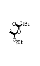 C=C(OCC)OC(=O)C(C)(C)C